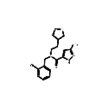 O=C(c1cc(C(F)(F)F)n[nH]1)N(CCC1CCOC1)Cc1ccccc1Cl